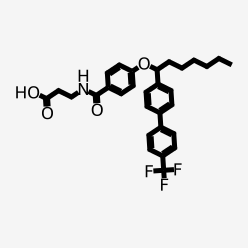 CCCCCCC(Oc1ccc(C(=O)NCCC(=O)O)cc1)c1ccc(-c2ccc(C(F)(F)F)cc2)cc1